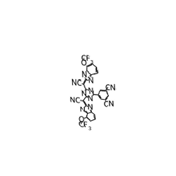 N#C/C(=C1/N=c2cccc(OC(F)(F)F)c2=N1)c1nc(/C(C#N)=C2\N=c3cccc(OC(F)(F)F)c3=N2)nc(-c2cc(C#N)cc(C#N)c2)n1